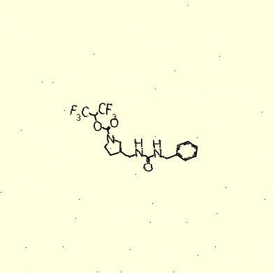 O=C(NCc1ccccc1)NCC1CCN(C(=O)OC(C(F)(F)F)C(F)(F)F)C1